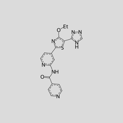 CCOc1nc(-c2ccnc(NC(=O)c3ccncc3)c2)sc1-c1nnc[nH]1